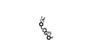 Fc1cccc(-c2nc3c([nH]2)C=CN(Cc2ccc(OC(F)(F)F)cc2)C3)c1F